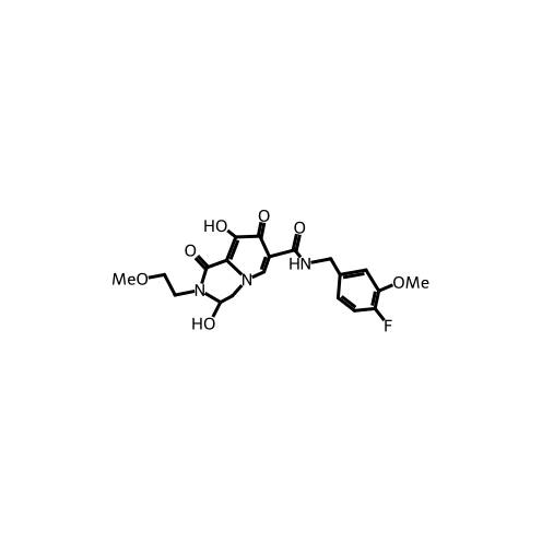 COCCN1C(=O)c2c(O)c(=O)c(C(=O)NCc3ccc(F)c(OC)c3)cn2CC1O